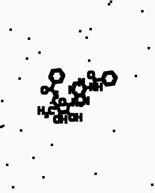 CC1(CSC(=O)c2ccccc2)OC(n2cnc3c(NC(=O)c4ccccc4)ncnc32)C(O)=C1O